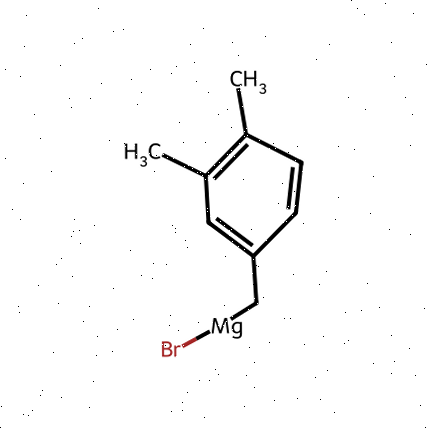 Cc1ccc([CH2][Mg][Br])cc1C